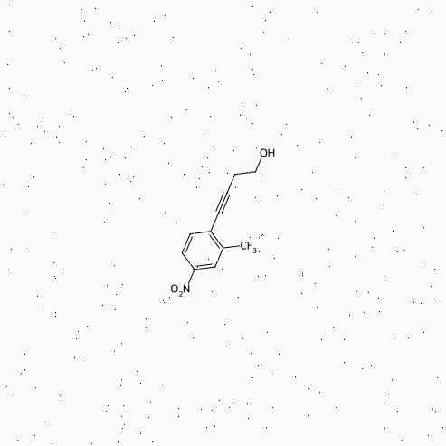 O=[N+]([O-])c1ccc(C#CCCO)c(C(F)(F)F)c1